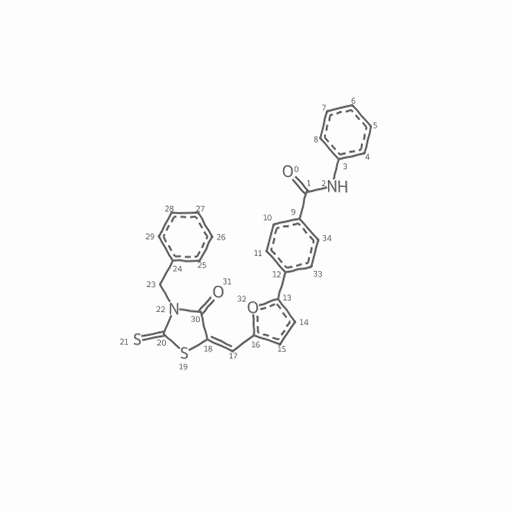 O=C(Nc1ccccc1)c1ccc(-c2ccc(C=C3SC(=S)N(Cc4ccccc4)C3=O)o2)cc1